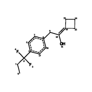 CCC(F)(F)c1ccc(CC(O)=C2CCC2)cc1